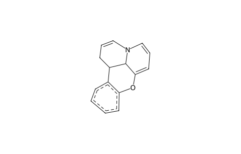 C1=CN2C=CCC3c4ccccc4OC(=C1)C32